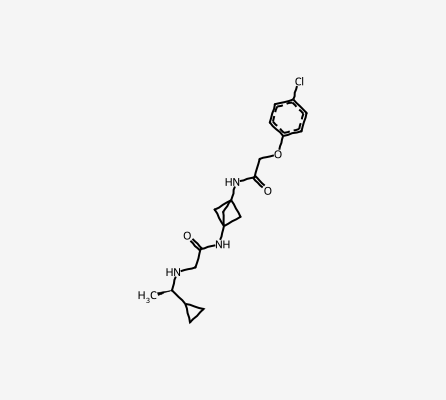 C[C@@H](NCC(=O)NC12CC(NC(=O)COc3ccc(Cl)cc3)(C1)C2)C1CC1